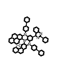 c1ccc(-c2ccc(N3c4cc(-c5nc(-c6ccccc6)nc6ccccc56)cc5c4B(c4c3cc3ccc6cccc7ccc4c3c67)c3c(cc4ccc6cccc7ccc3c4c67)N5c3ccc(-c4ccccc4)cc3)cc2)cc1